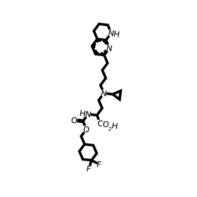 O=C(NC(CCN(CCCCc1ccc2c(n1)NCCC2)C1CC1)C(=O)O)OCC1CCC(F)(F)CC1